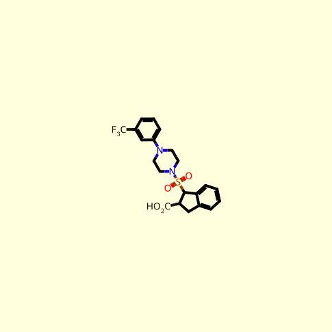 O=C(O)C1Cc2ccccc2C1S(=O)(=O)N1CCN(c2cccc(C(F)(F)F)c2)CC1